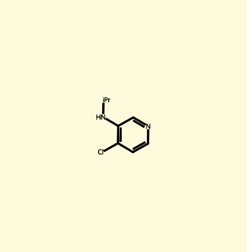 CC(C)Nc1cnccc1Cl